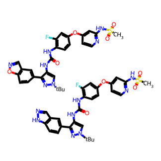 CC(C)(C)n1cc(NC(=O)Nc2ccc(Oc3ccnc(NS(C)(=O)=O)c3)cc2F)c(-c2ccc3[nH]ncc3c2)n1.CC(C)(C)n1cc(NC(=O)Nc2ccc(Oc3ccnc(NS(C)(=O)=O)c3)cc2F)c(-c2ccc3oncc3c2)n1